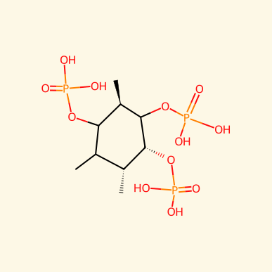 CC1C(OP(=O)(O)O)[C@@H](C)C(OP(=O)(O)O)[C@H](OP(=O)(O)O)[C@@H]1C